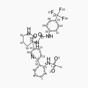 CS(=O)(=O)Nc1ccccc1-c1ccc([C@]2(NC(=O)Nc3ccc(C(F)(F)F)cc3)CCCNC2=O)cn1